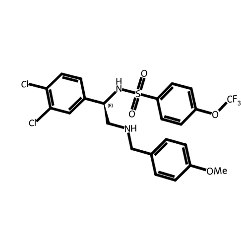 COc1ccc(CNC[C@H](NS(=O)(=O)c2ccc(OC(F)(F)F)cc2)c2ccc(Cl)c(Cl)c2)cc1